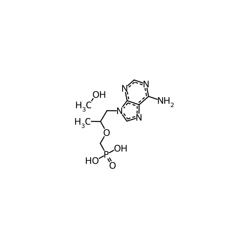 CC(Cn1cnc2c(N)ncnc21)OCP(=O)(O)O.CO